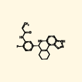 C=CC(=O)Nc1cc(C2Nc3ccc4[nH]ncc4c3C3=C2CCCC3)ccc1F